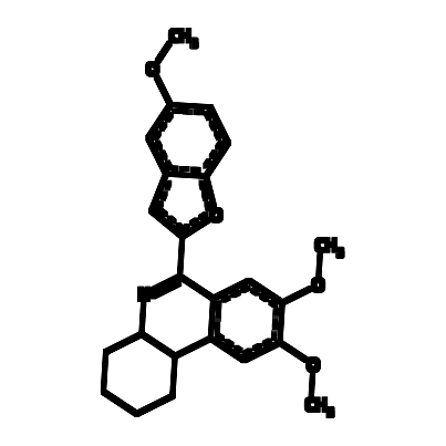 COc1ccc2oc(C3=NC4CCCCC4c4cc(OC)c(OC)cc43)cc2c1